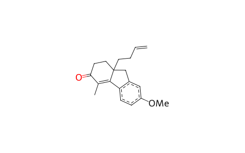 C=CCCC12CCC(=O)C(C)=C1c1ccc(OC)cc1C2